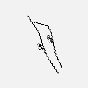 CCCCCCCC/C=C\CCCCCCC(CCCCCCCCCCCCCCCCCC)C(=O)O.CCCCCCCCCCCCCCCCCCCCC(CCCCCCCCCCCCCCCCCC)C(=O)O